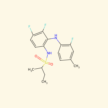 CCC(C)S(=O)(=O)Nc1ccc(F)c(F)c1Nc1ccc(C)cc1F